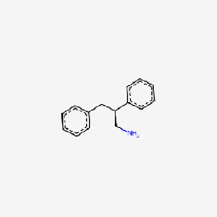 NC[C@@H](Cc1ccccc1)c1ccccc1